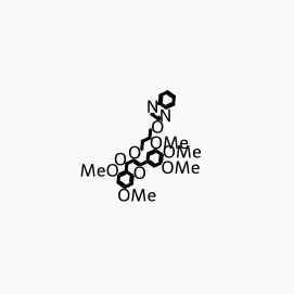 COc1cc(OC)c2c(=O)c(OCCCCOc3cnc4ccccc4n3)c(-c3cc(OC)c(OC)c(OC)c3)oc2c1